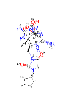 N=C1N[C@H]2[C@H](CN3C(=O)CN(C4CCCC4)C3=O)NC(=N)N3CCC(O)(O)[C@]23N1